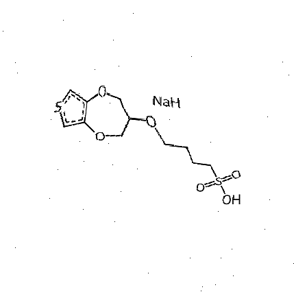 O=S(=O)(O)CCCCOC1COc2cscc2OC1.[NaH]